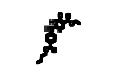 CCCCOC(=O)c1ccc(Nc2ncc(C(=O)OCC)c(=O)[nH]2)cc1